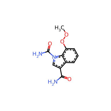 COOc1cccc2c(C(N)=O)cn(C(N)=O)c12